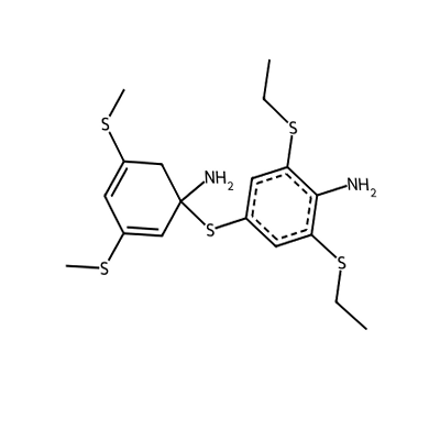 CCSc1cc(SC2(N)C=C(SC)C=C(SC)C2)cc(SCC)c1N